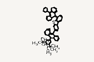 CC(C)(C)c1cc(-c2c3ccccc3c(-c3ccc4c(c3)sc3c(-c5c6ccccc6c(-c6ccccc6)c6ccccc56)cccc34)c3ccccc23)cc(C(C)(C)C)c1